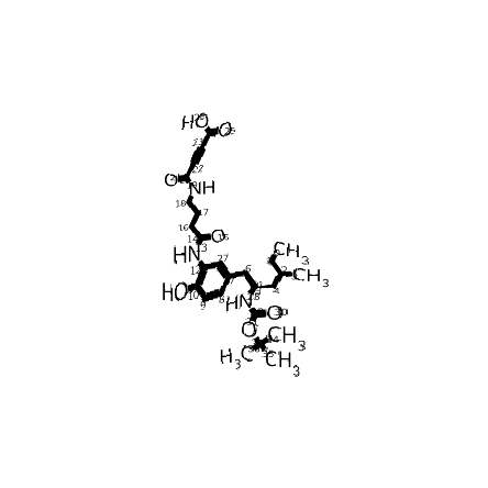 CCC(C)C[C@H](Cc1ccc(O)c(NC(=O)CCCNC(=O)C#CC(=O)O)c1)NC(=O)OC(C)(C)C